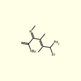 C=C(CCCC)C(=N/C)/C(C)=C(\C)C(P)CC